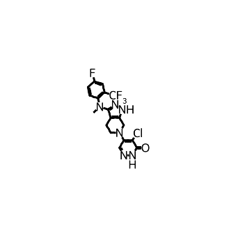 CN(c1ccc(F)cc1C(F)(F)F)c1n[nH]c2c1CCN(c1cn[nH]c(=O)c1Cl)C2